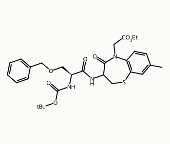 CCOC(=O)CN1C(=O)C(NC(=O)[C@H](COCc2ccccc2)NC(=O)OC(C)(C)C)CSc2cc(C)ccc21